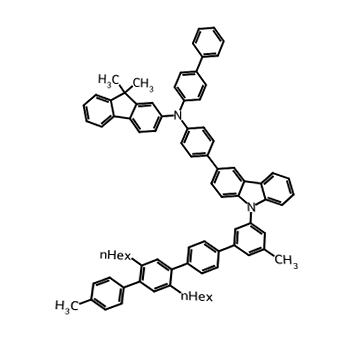 CCCCCCc1cc(-c2ccc(-c3cc(C)cc(-n4c5ccccc5c5cc(-c6ccc(N(c7ccc(-c8ccccc8)cc7)c7ccc8c(c7)C(C)(C)c7ccccc7-8)cc6)ccc54)c3)cc2)c(CCCCCC)cc1-c1ccc(C)cc1